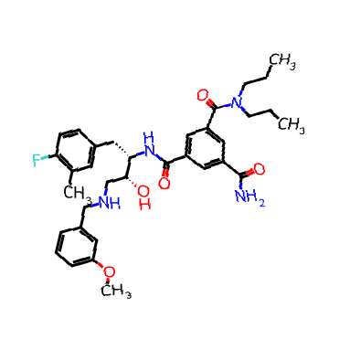 CCCN(CCC)C(=O)c1cc(C(N)=O)cc(C(=O)N[C@@H](Cc2ccc(F)c(C)c2)[C@H](O)CNCc2cccc(OC)c2)c1